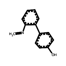 C=Nc1ccccc1-c1ccc(O)cc1